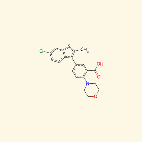 Cc1sc2cc(Cl)ccc2c1-c1ccc(N2CCOCC2)c(C(=O)O)c1